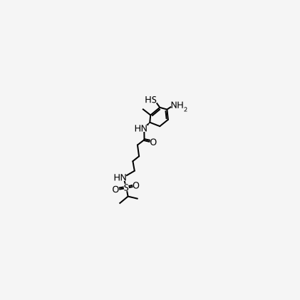 CC1=C(S)C(N)=CC[C@H]1NC(=O)CCCCNS(=O)(=O)C(C)C